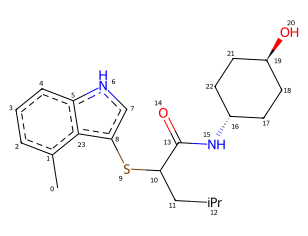 Cc1cccc2[nH]cc(SC(CC(C)C)C(=O)N[C@H]3CC[C@H](O)CC3)c12